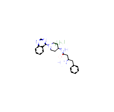 Cl.Cl.NC(CC(=O)NC1CCN(c2ncnc3ccccc23)CC1)Cc1ccccc1